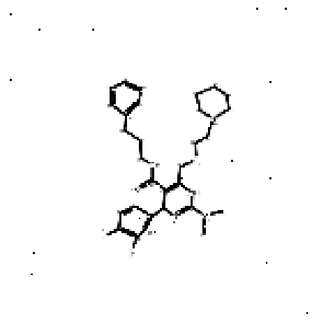 CN(C)C1=NC(c2ccc(Cl)c(Cl)c2)C(C(=O)OCCCc2ccccc2)=C(COCCN2CCCCC2)N1